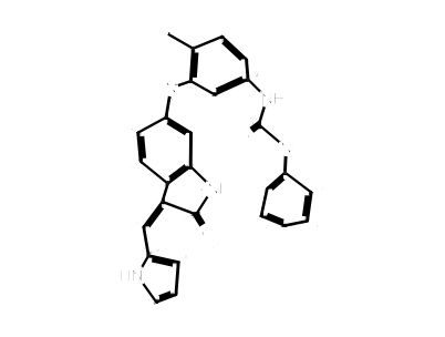 Cc1ccc(NC(=O)Nc2ccccc2)cc1Nc1ccc2c(c1)NC(=O)/C2=C\c1ccc[nH]1